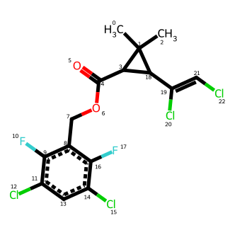 CC1(C)C(C(=O)OCc2c(F)c(Cl)cc(Cl)c2F)C1/C(Cl)=C/Cl